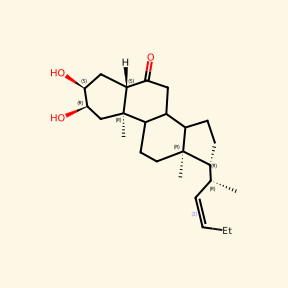 CC/C=C\[C@@H](C)[C@H]1CCC2C3CC(=O)[C@H]4C[C@H](O)[C@H](O)C[C@]4(C)C3CC[C@@]21C